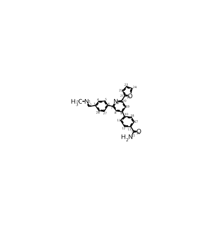 C/N=C/c1ccc(-c2cc(-c3ccc(C(N)=O)cc3)cc(-c3ccco3)n2)cc1